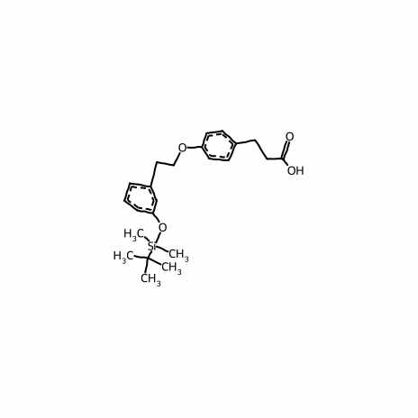 CC(C)(C)[Si](C)(C)Oc1cccc(CCOc2ccc(CCC(=O)O)cc2)c1